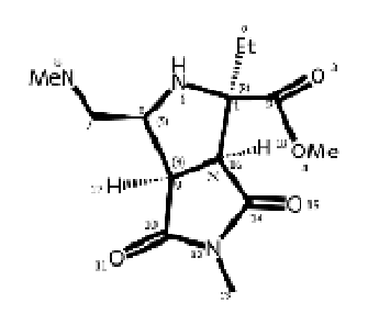 CC[C@@]1(C(=O)OC)N[C@H](CNC)[C@@H]2C(=O)N(C)C(=O)[C@@H]21